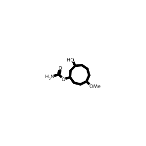 COC1CCCC(O)CC(OC(N)=O)CC1